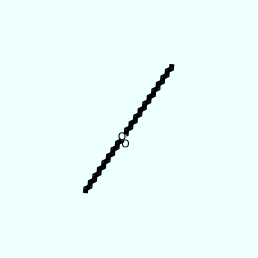 CCCCCCCCCCCCCCCCCCCCCCOC(=O)CCCCCCCCCCCCCCCC